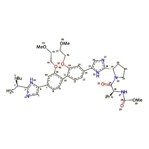 CCCC[C@H](C)c1ncc(-c2ccc(-c3ccc(-c4cnc([C@@H]5CCCN5C(=O)[C@@H](NC(=O)OC)C(C)C)[nH]4)cc3OCCOC)c(OCCOC)c2)[nH]1